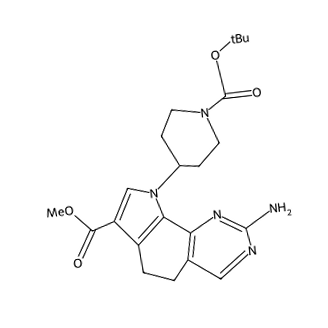 COC(=O)c1cn(C2CCN(C(=O)OC(C)(C)C)CC2)c2c1CCc1cnc(N)nc1-2